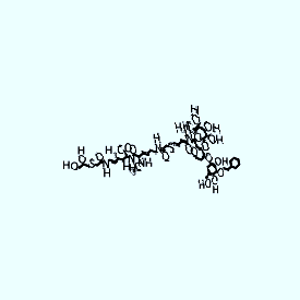 CNC(CCCCNC(=O)CSCCCC(=O)NCC1OCCC(OC2CC(CO)C(O)C(OCCC3CCCCC3)C2O)C1OC1OC(C)C(O)C(O)C1O)C(=O)NC(CCCCNC(=O)CSCC(O)CO)C(C)=O